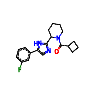 O=C(C1CCC1)N1CCCCC1c1ncc(-c2cccc(F)c2)[nH]1